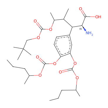 CCCC(C)OC(=O)Oc1ccc(C(C(C)C(C)OC(=O)OCC(C)(C)C)[C@H](N)C(=O)O)cc1OC(=O)OC(C)CCC